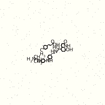 CC(C)(N)COc1ccc(Nc2ccc(CCNC[C@H](O)c3ccc(O)c4[nH]c(=O)ccc34)cc2)cc1.Cc1ccc(C=CC(=O)O)cc1